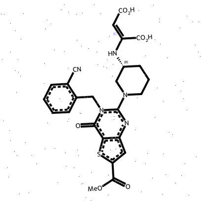 COC(=O)c1cc2nc(N3CCC[C@@H](N/C(=C/C(=O)O)C(=O)O)C3)n(Cc3ccccc3C#N)c(=O)c2s1